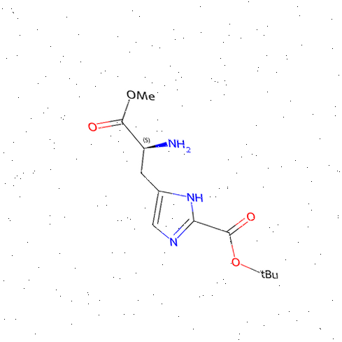 COC(=O)[C@@H](N)Cc1cnc(C(=O)OC(C)(C)C)[nH]1